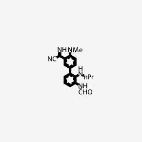 CCCNc1c(NC=O)cccc1-c1ccc(NC)c(C(=N)C#N)c1